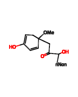 CCCCCCCCCC(O)C(=O)CC1(OC)C=CC(O)=CC1